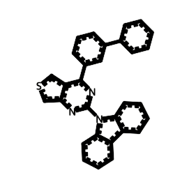 c1ccc(-c2cccc(-c3nc(-n4c5ccccc5c5ccccc54)nc4cscc34)c2)cc1